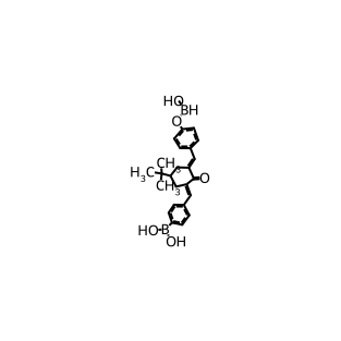 CC(C)(C)C1C/C(=C\c2ccc(OBO)cc2)C(=O)/C(=C/c2ccc(B(O)O)cc2)C1